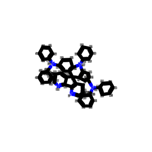 N#Cc1cnc2c(c1)C1(c3cc(N(c4ccccc4)c4ccccc4)ccc3N(c3ccccc3)c3ccc(N(c4ccccc4)c4ccccc4)cc31)c1cc(C#N)cnc1-2